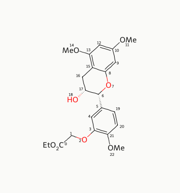 CCOC(=O)COc1cc([C@H]2Oc3cc(OC)cc(OC)c3C[C@H]2O)ccc1OC